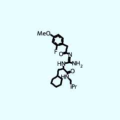 COc1ccc(CC(=O)N=C(N)NC(CC2CCCCC2)C(=O)NCC(C)C)c(F)c1